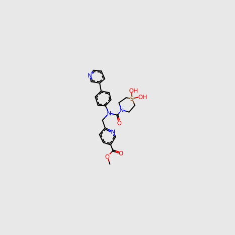 COC(=O)c1ccc(CN(C(=O)N2CCS(O)(O)CC2)c2ccc(-c3cccnc3)cc2)nc1